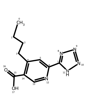 CCCCc1cc(-c2nnn[nH]2)ncc1C(=O)O